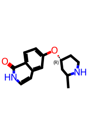 CC1C[C@H](Oc2ccc3c(=O)[nH]ccc3c2)CCN1